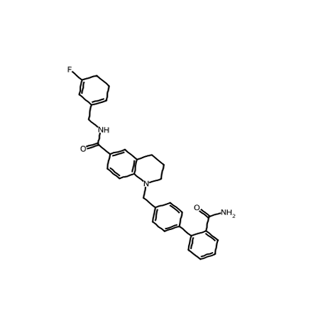 NC(=O)c1ccccc1-c1ccc(CN2CCCc3cc(C(=O)NCC4=CCCC(F)=C4)ccc32)cc1